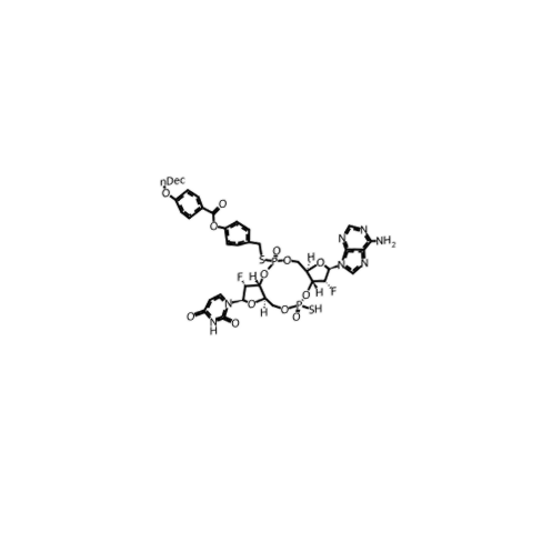 CCCCCCCCCCOc1ccc(C(=O)Oc2ccc(CSP3(=O)OC[C@H]4O[C@@H](n5cnc6c(N)ncnc65)[C@H](F)[C@@H]4OP(=O)(S)OC[C@H]4O[C@@H](n5ccc(=O)[nH]c5=O)[C@H](F)[C@@H]4O3)cc2)cc1